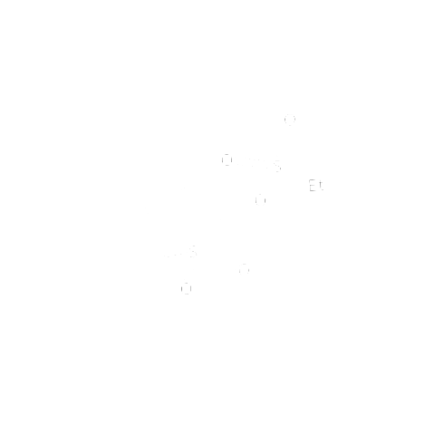 CCS(=O)(=O)OC1CCCS1(=O)=O